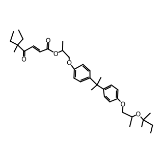 CCC(C)(C)OC(C)COc1ccc(C(C)(C)c2ccc(OCC(C)OC(=O)/C=C/C(=O)C(C)(CC)CC)cc2)cc1